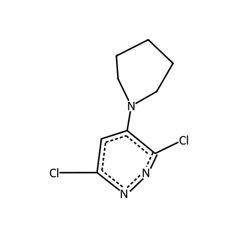 Clc1cc(N2CCCCC2)c(Cl)nn1